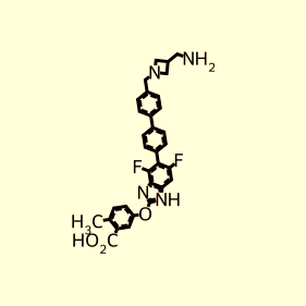 Cc1ccc(Oc2nc3c(F)c(-c4ccc(-c5ccc(CN6CC(CN)C6)cc5)cc4)c(F)cc3[nH]2)cc1C(=O)O